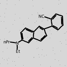 CCCN(CC)c1ccc2cc(-c3ccccc3C#N)ccc2c1